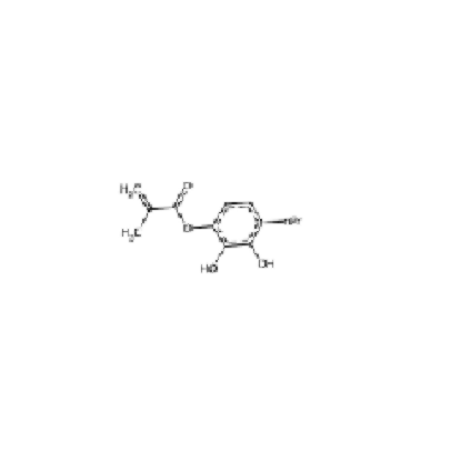 C=C(C)C(=O)Oc1ccc(CCC)c(O)c1O